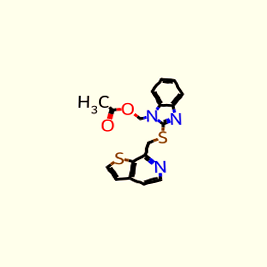 CC(=O)OCn1c(SCc2nccc3ccsc23)nc2ccccc21